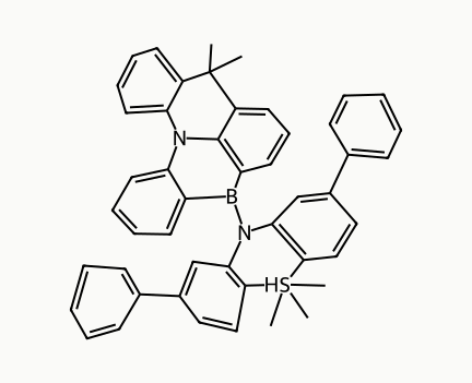 CC1(C)c2ccccc2N2c3ccccc3B(N3c4cc(-c5ccccc5)ccc4[SH](C)(C)(C)c4ccc(-c5ccccc5)cc43)c3cccc1c32